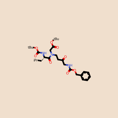 CC(C)C[C@H](NC(=O)OC(C)(C)C)C(=O)N(CCC(=O)CNC(=O)OCc1ccccc1)CC(=O)OC(C)(C)C